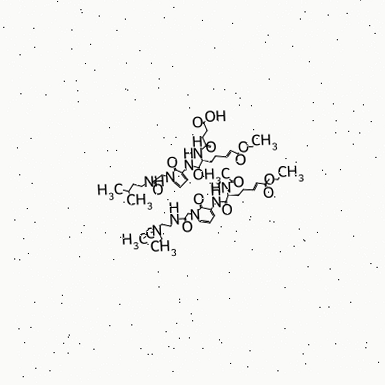 CCOC(=O)/C=C/CC[C@H](NC(=O)CCC(=O)O)C(=O)Nc1cccn(CC(=O)NCCC(C)C)c1=O.CCOC(=O)/C=C/CC[C@H](NC(C)=O)C(=O)Nc1cccn(CC(=O)NCCN(CC)CC)c1=O